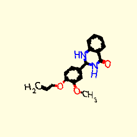 C=CCOc1ccc(C2NC(=O)c3ccccc3N2)cc1OC